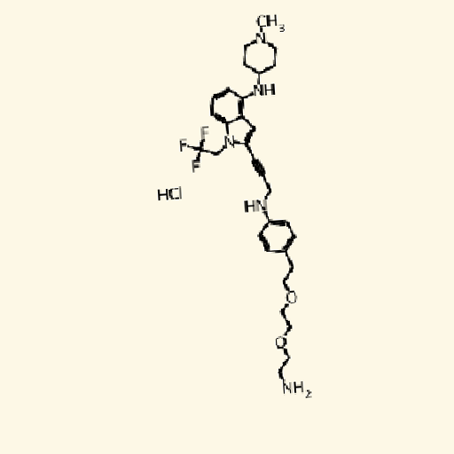 CN1CCC(Nc2cccc3c2cc(C#CCNc2ccc(CCOCCOCCN)cc2)n3CC(F)(F)F)CC1.Cl